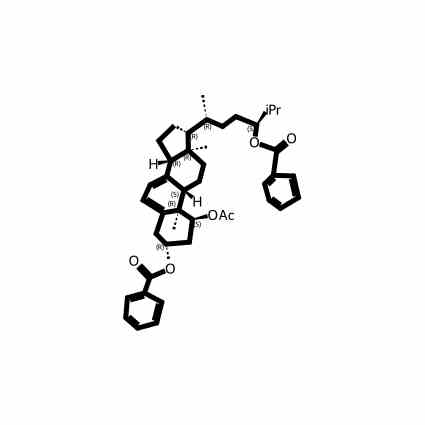 CC(=O)O[C@H]1C[C@H](OC(=O)c2ccccc2)CC2=CC=C3[C@@H]4CC[C@H]([C@H](C)CC[C@H](OC(=O)c5ccccc5)C(C)C)[C@@]4(C)CC[C@@H]3[C@]21C